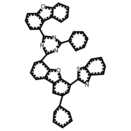 c1ccc(-c2cc(-c3nc4ccccc4s3)c3oc4c(-c5nc(-c6ccccc6)nc(-c6cccc7oc8ccccc8c67)n5)cccc4c3c2)cc1